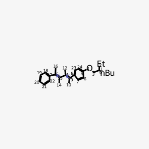 CCCCC(CC)COc1ccc(/C(C)=C(C)/C(C)=C(\C)c2ccccc2)cc1